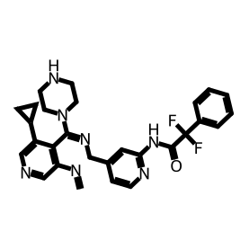 C=Nc1cncc(C2CC2)c1/C(=N\Cc1ccnc(NC(=O)C(F)(F)c2ccccc2)c1)N1CCNCC1